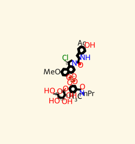 CCCN(C)C(=O)c1ccc(O[C@@H]2O[C@H](CO)[C@H](O)[C@H](O)[C@H]2O)c(OS(=O)(=O)Oc2cc3c(c4cc(OC)ccc24)[C@H](CCl)CN3C(=O)c2cc3cc(C(C)=O)c(O)cc3[nH]2)c1